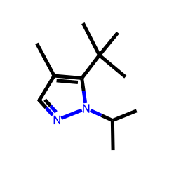 Cc1cnn(C(C)C)c1C(C)(C)C